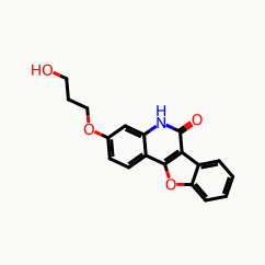 O=c1[nH]c2cc(OCCCO)ccc2c2oc3ccccc3c12